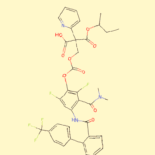 CCC(C)OC(=O)C(COC(=O)Oc1c(F)cc(NC(=O)c2ccccc2-c2ccc(C(F)(F)F)cc2)c(C(=O)N(C)C)c1F)(C(=O)O)c1ccccn1